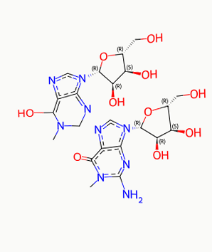 CN1CN=c2c(ncn2[C@@H]2O[C@H](CO)[C@@H](O)[C@H]2O)=C1O.Cn1c(N)nc2c(ncn2[C@@H]2O[C@H](CO)[C@@H](O)[C@H]2O)c1=O